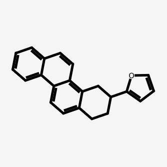 c1coc(C2CCc3ccc4c(ccc5ccccc54)c3C2)c1